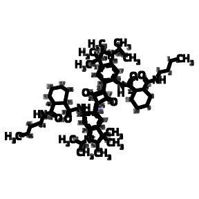 CCCCNC(=O)C1CCCCC1C(=O)Nc1cc2c(cc1C1=C([O-])/C(=c3/cc4c(cc3NC(=O)C3CCCCC3C(=O)NCCCC)=[N+](C(C)C)C(C)C4(C)C)C1=O)C(C)(C)C(C)N2C(C)C